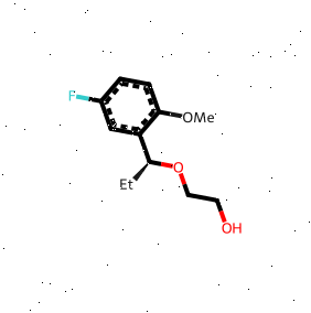 CC[C@H](OCCO)c1cc(F)ccc1OC